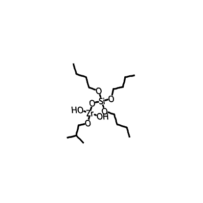 CCCCO[Si](OCCCC)(OCCCC)[O][Zr]([OH])([OH])[O]CC(C)C